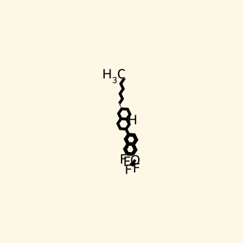 CCCCCCC[C@@H]1CC[C@@H]2CC(c3ccc4cc(OC(F)(F)F)c(F)cc4c3)CCC2C1